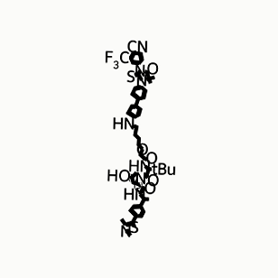 Cc1ncsc1-c1ccc(C(C)NC(=O)[C@@H]2C[C@@H](O)CN2C(=O)C(NC(=O)COCCCCNc2ccc(-c3ccc(N4C(=S)N(c5ccc(C#N)c(C(F)(F)F)c5)C(=O)C4(C)C)cc3)cc2)C(C)(C)C)cc1